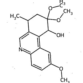 COc1ccc2ncc3c(c2c1)C(O)C(OC)(OC)CC3C